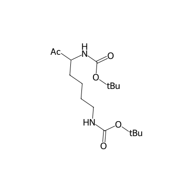 CC(=O)C(CCCCNC(=O)OC(C)(C)C)NC(=O)OC(C)(C)C